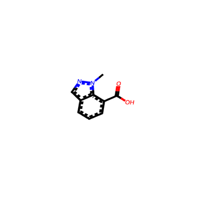 Cn1ncc2cccc(C(=O)O)c21